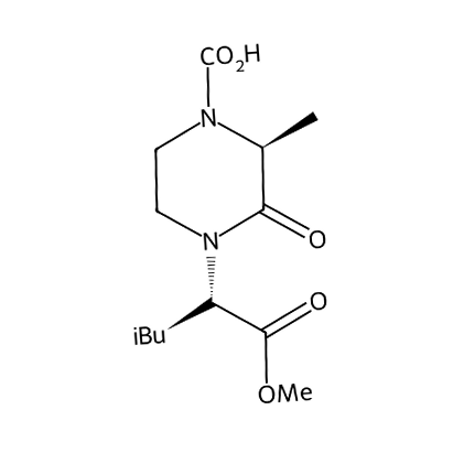 CC[C@H](C)[C@@H](C(=O)OC)N1CCN(C(=O)O)[C@@H](C)C1=O